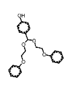 Oc1ccc(C(OCCOc2ccccc2)OCCOc2ccccc2)cc1